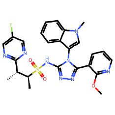 COc1ncccc1-c1nnc(NS(=O)(=O)[C@@H](C)[C@H](C)c2ncc(F)cn2)n1-c1cn(C)c2ccccc12